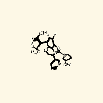 CC1=NOC(C)C1c1cc(F)c2nc(N3CC[C@@H](O)C3)n3c2c1OCC3c1cccnc1